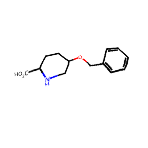 O=C(O)C1CCC(OCc2ccccc2)CN1